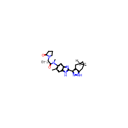 CC[C@@H](C(=O)N(C)c1cc2nc(-c3n[nH]c4c3C[C@@H]3C[C@]3(C)C4)[nH]c2cc1C)N1CCCC1=O